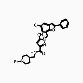 CCN1CCC(CNC(=O)c2cc(C)n(Cc3cc(Cl)cc4cc(-c5ccccc5)oc34)n2)CC1